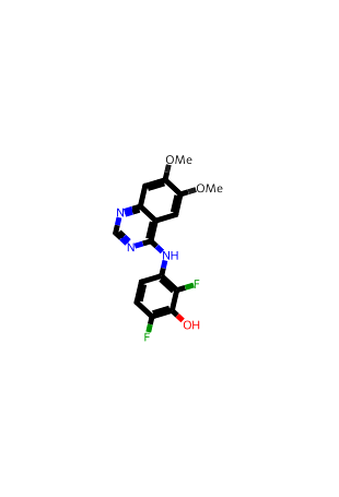 COc1cc2ncnc(Nc3ccc(F)c(O)c3F)c2cc1OC